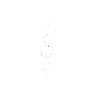 CC(=O)Nc1ccc(C=CC=O)cc1